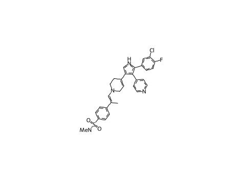 CNS(=O)(=O)c1ccc(C(C)=CN2CC=C(c3c[nH]c(-c4ccc(F)c(Cl)c4)c3-c3ccncc3)CC2)cc1